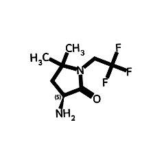 CC1(C)C[C@H](N)C(=O)N1CC(F)(F)F